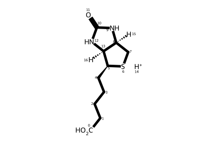 O=C(O)CCCC[C@@H]1SC[C@@H]2NC(=O)N[C@@H]21.[H+]